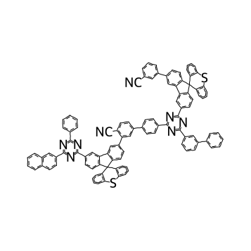 N#Cc1cccc(-c2ccc3c(c2)-c2cc(-c4nc(-c5ccc(-c6ccc(C#N)c(-c7ccc8c(c7)-c7cc(-c9nc(-c%10ccccc%10)nc(-c%10ccc%11ccccc%11c%10)n9)ccc7C87c8ccccc8Sc8ccccc87)c6)cc5)nc(-c5cccc(-c6ccccc6)c5)n4)ccc2C32c3ccccc3Sc3ccccc32)c1